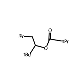 CCCC(=O)OC(CC(C)C)C(C)(C)C